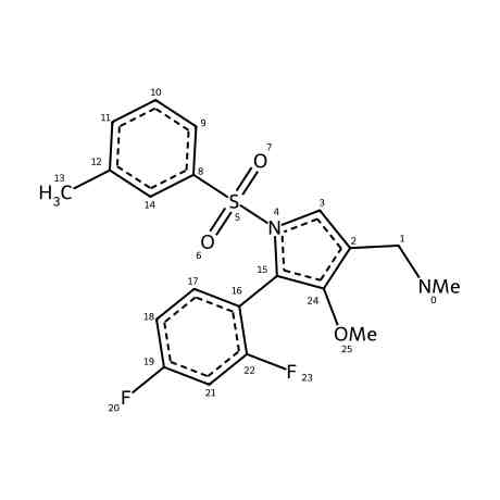 CNCc1cn(S(=O)(=O)c2cccc(C)c2)c(-c2ccc(F)cc2F)c1OC